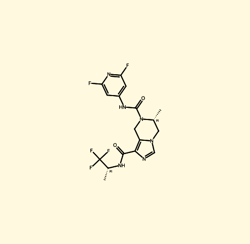 C[C@@H]1Cn2cnc(C(=O)N[C@H](C)C(F)(F)F)c2CN1C(=O)Nc1cc(F)nc(F)c1